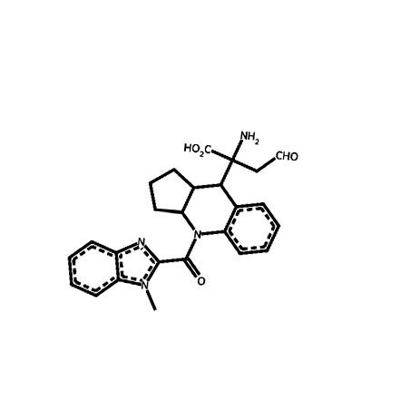 Cn1c(C(=O)N2c3ccccc3C(C(N)(CC=O)C(=O)O)C3CCCC32)nc2ccccc21